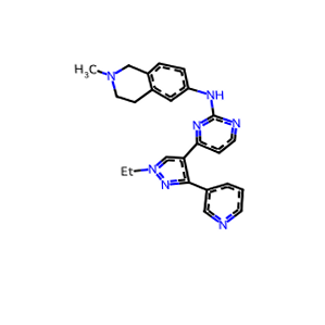 CCn1cc(-c2ccnc(Nc3ccc4c(c3)CCN(C)C4)n2)c(-c2cccnc2)n1